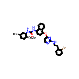 COc1ccc(C(C)(C)C)cc1NC(=O)Nc1ccc(Oc2ccnc(NCCc3ccccc3Br)n2)c2ccccc12